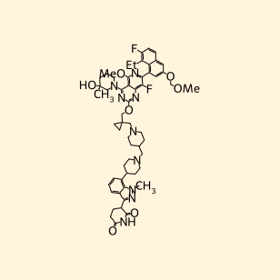 CCc1c(F)ccc2cc(OCOC)cc(-c3nc(OC)c4c(N5CCC[C@@](C)(O)C5)nc(OCC5(CN6CCC(CN7CCC(c8cccc9c(C%10CCC(=O)NC%10=O)nn(C)c89)CC7)CC6)CC5)nc4c3F)c12